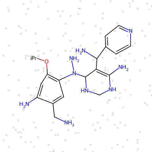 CC(C)Oc1cc(N)c(CN)cc1N(N)C1NCNC(N)=C1C(N)c1ccncc1